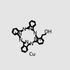 OCCc1cccc2c3nc4nc(nc5[nH]c(nc6nc(nc([nH]3)c12)-c1ccccc1-6)c1ccccc51)-c1ccccc1-4.[Cu]